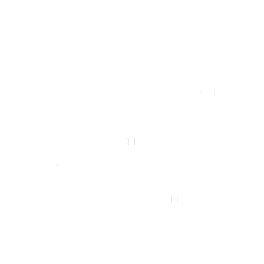 CC=CC(C)[PH](C(C)C=CC)(C(C)C=CC)C(C)C=CC